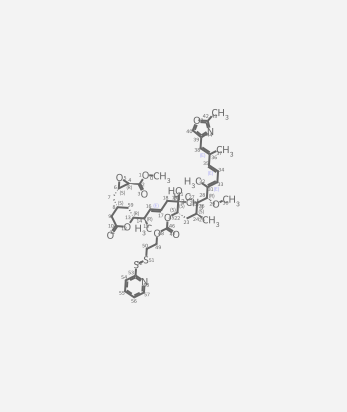 COC(=O)[C@@H]1O[C@H]1C[C@H]1CC(=O)O[C@@H]([C@H](C)/C=C/C[C@](C)(O)[C@H](C[C@H](C)[C@H](C)[C@@H](OC)/C(C)=C/C=C/C(C)=C/c2coc(C)n2)OC(=O)OCCSSc2ccccn2)C1